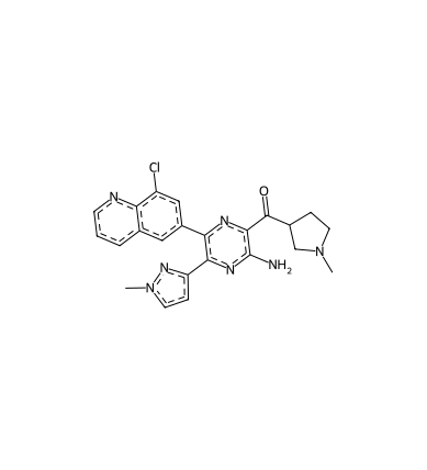 CN1CCC(C(=O)c2nc(-c3cc(Cl)c4ncccc4c3)c(-c3ccn(C)n3)nc2N)C1